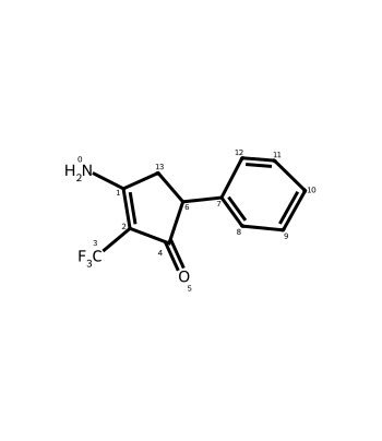 NC1=C(C(F)(F)F)C(=O)C(c2ccccc2)C1